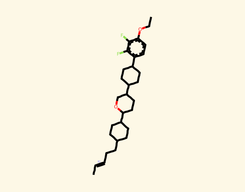 C/C=C/CCC1CCC(C2CCC(C3CCC(c4ccc(OCC)c(F)c4F)CC3)CO2)CC1